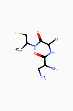 CCC(NC(=O)C(N)CN)C(=O)NC(CS)C(=O)O